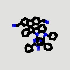 N#Cc1ccc2c(c1)C1(c3cc(C#N)ccc3-2)c2ccccc2-c2c1c1cccc(N(c3ccccc3)c3ccccc3)c1n2C1=NC(c2ccccc2)NC(c2ccccc2)=N1